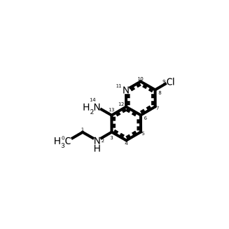 CCNc1ccc2cc(Cl)cnc2c1N